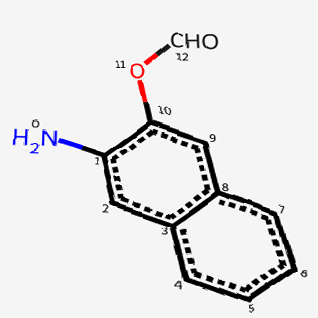 Nc1cc2ccccc2cc1OC=O